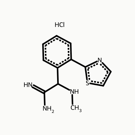 CNC(C(=N)N)c1ccccc1-c1nccs1.Cl